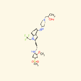 COc1cc(S(C)(=O)=O)ccc1NCC#Cc1cc2c(NC3CCN(CC(C)O)CC3)cccc2n1CC(F)(F)F